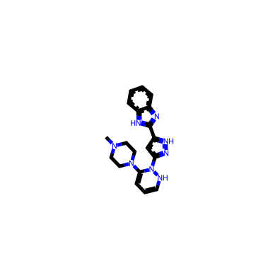 CN1CCN(C2=CC=CNN2c2cc(-c3nc4ccccc4[nH]3)[nH]n2)CC1